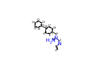 C=C/N=C\N(N)Cc1ccc(-c2ccccc2)cc1